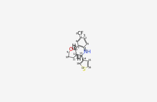 FC(F)(F)c1ccc2c(c1)[C@H]1OCCC[C@H]1[C@H](c1ccsc1)N2